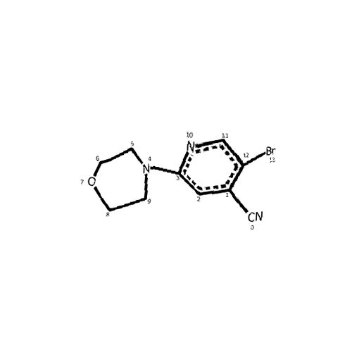 N#Cc1cc(N2CCOCC2)ncc1Br